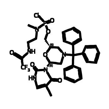 Cc1c[nH]c(=O)n([C@H]2CN(C(c3ccccc3)(c3ccccc3)c3ccccc3)C[C@@H](COP(=O)(Cl)N(C)CCNC(=O)C(F)(F)F)O2)c1=O